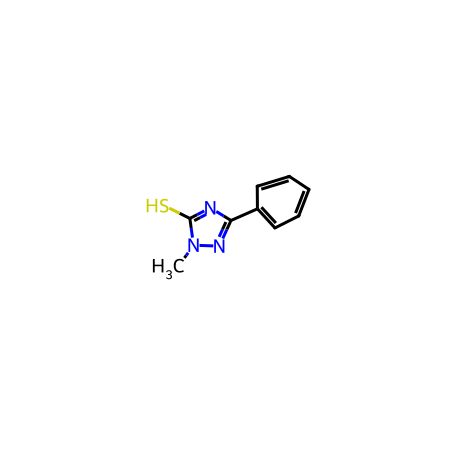 Cn1nc(-c2ccccc2)nc1S